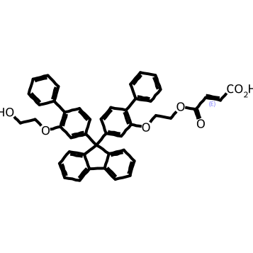 O=C(O)/C=C/C(=O)OCCOc1cc(C2(c3ccc(-c4ccccc4)c(OCCO)c3)c3ccccc3-c3ccccc32)ccc1-c1ccccc1